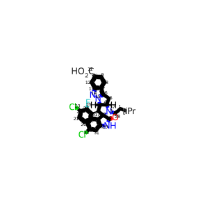 CC(C)CCN1[C@H]2Cc3c4ccc(C(=O)O)cc4nn3[C@H]2[C@H](c2cccc(Cl)c2F)[C@]12C(=O)Nc1cc(Cl)ccc12